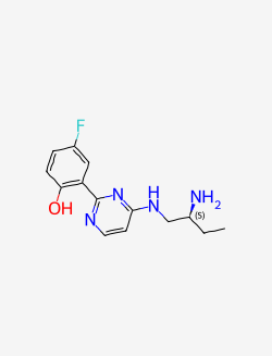 CC[C@H](N)CNc1ccnc(-c2cc(F)ccc2O)n1